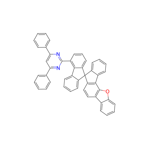 c1ccc(-c2cc(-c3ccccc3)nc(-c3cccc4c3-c3ccccc3C43c4ccccc4-c4c3ccc3c4oc4ccccc43)n2)cc1